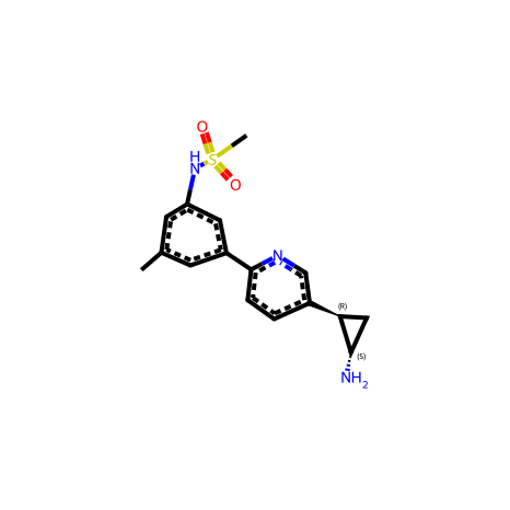 Cc1cc(NS(C)(=O)=O)cc(-c2ccc([C@H]3C[C@@H]3N)cn2)c1